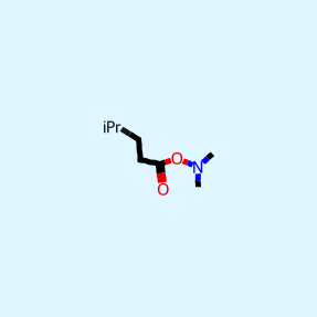 CC(C)CCC(=O)ON(C)C